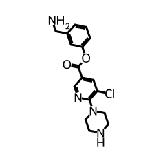 NCc1cccc(OC(=O)c2cnc(N3CCNCC3)c(Cl)c2)c1